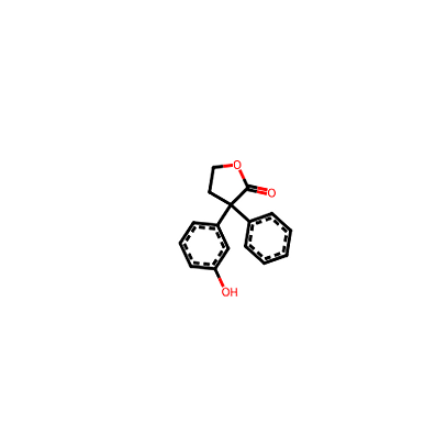 O=C1OCCC1(c1ccccc1)c1cccc(O)c1